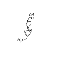 CCc1cnc(N2CCN(CC(=O)O)CC2)nc1